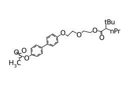 CCCC(C(=O)OCCOCCOc1ccc(-c2ccc(OS(C)(=O)=O)cc2)cc1)C(C)(C)C